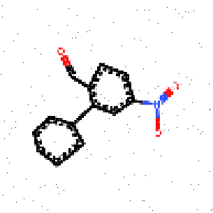 O=[C]c1ccc([N+](=O)[O-])cc1-c1ccccc1